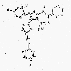 CN(C(=O)O)c1c(C(=O)NN2CCCCC2)nn(-c2ccc(Cl)cc2Cl)c1-c1ccc(C#Cc2ccc(C(F)(F)F)cc2)s1